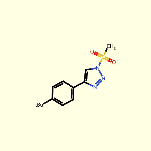 CC(C)(C)c1ccc(-c2cn(S(C)(=O)=O)nn2)cc1